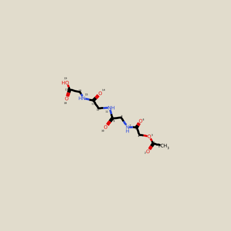 CC(=O)OCC(=O)NCC(=O)NCC(=O)NCC(=O)O